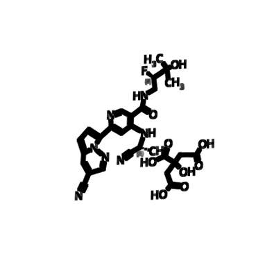 C[C@H](C#N)Nc1cc(-c2ccc3cc(C#N)cnn23)ncc1C(=O)NC[C@@H](F)C(C)(C)O.O=C(O)CC(O)(CC(=O)O)C(=O)O